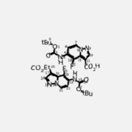 CC(C)(C)OC(=O)Nc1ccn2ncc(C(=O)O)c2c1F.CCOC(=O)c1cnn2ccc(NC(=O)OC(C)(C)C)c(F)c12